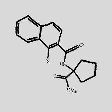 COC(=O)C1(NC(=O)c2ccc3ccccc3c2Br)CCCC1